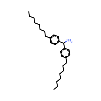 CCCCCCCCc1ccc(C(N)c2ccc(CCCCCCCC)cc2)cc1